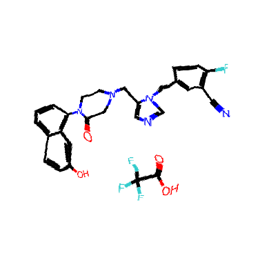 N#Cc1cc(Cn2cncc2CN2CCN(c3cccc4ccc(O)cc34)C(=O)C2)ccc1F.O=C(O)C(F)(F)F